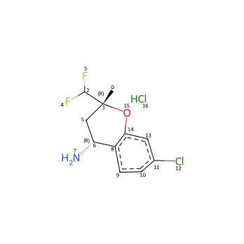 C[C@]1(C(F)F)C[C@@H](N)c2ccc(Cl)cc2O1.Cl